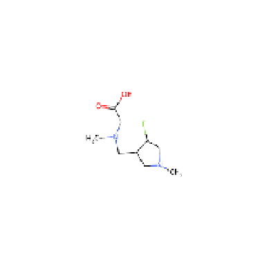 CN(CC(=O)O)CC1CN(C)CC1F